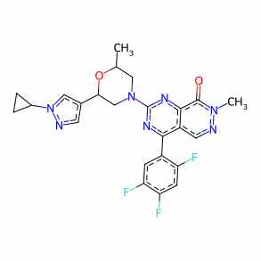 CC1CN(c2nc(-c3cc(F)c(F)cc3F)c3cnn(C)c(=O)c3n2)CC(c2cnn(C3CC3)c2)O1